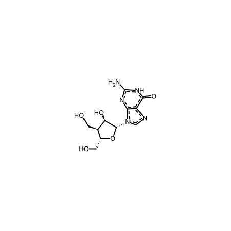 Nc1nc2c(ncn2[C@@H]2O[C@H](CO)[C@@H](CO)[C@H]2O)c(=O)[nH]1